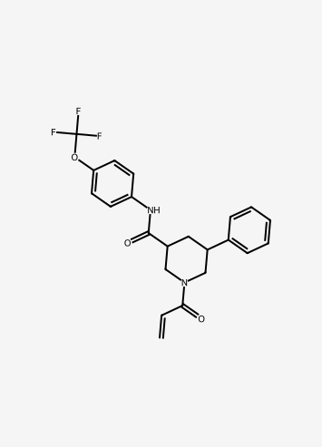 C=CC(=O)N1CC(C(=O)Nc2ccc(OC(F)(F)F)cc2)CC(c2ccccc2)C1